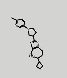 Cc1ccc(N2CCC(c3nc4c(s3)CCC(C3CCC3)NC4)C2)cn1